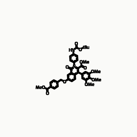 COC(=O)c1ccc(COc2ccc3c(-c4cc(OC)c(OC)c(OC)c4)c(C(=O)OC)n(-c4ccc(NC(=O)OC(C)(C)C)cc4)c(=O)c3c2)cc1